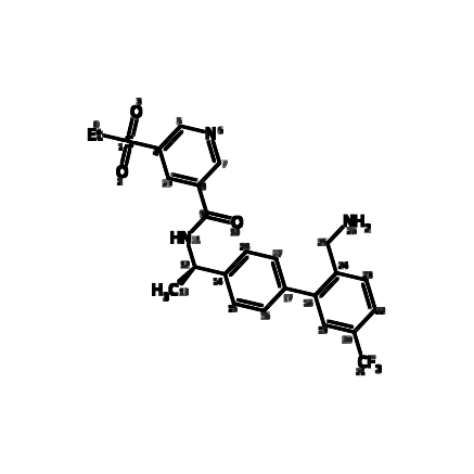 CCS(=O)(=O)c1cncc(C(=O)N[C@H](C)c2ccc(-c3cc(C(F)(F)F)ccc3CN)cc2)c1